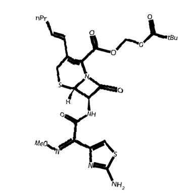 CCC/C=C/C1=C(C(=O)OCOC(=O)C(C)(C)C)N2C(=O)[C@@H](NC(=O)/C(=N\OC)c3csc(N)n3)[C@@H]2SC1